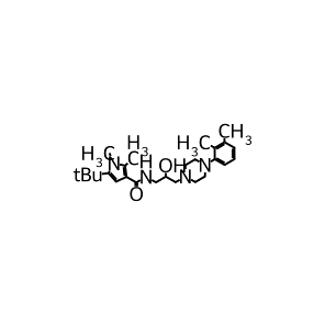 Cc1cccc(N2CCN(CC(O)CNC(=O)c3cc(C(C)(C)C)n(C)c3C)CC2)c1C